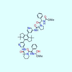 COC(=O)NC(C(=O)N1CCC[C@H]1C(=O)Nc1cncc(-c2c3c(c(-c4cncc(NC(=O)[C@@H]5CCCCN5C(=O)[C@H](NC(O)OC)c5ccccc5)c4)c4c2C(C)(C)CC4)C(C)(C)CC3)c1)c1ccccc1